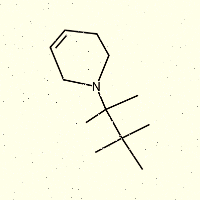 CC(C)(C)C(C)(C)N1CC=CCC1